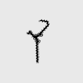 CCCCC/C=C\C/C=C\CCCCCCCC(=O)OCC1OC(CCCCN(C)CC)OC1COC(=O)CCCCCCCCCCCCCCCC